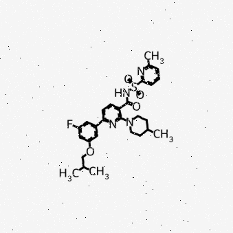 Cc1cccc(S(=O)(=O)NC(=O)c2ccc(-c3cc(F)cc(OCC(C)C)c3)nc2N2CCC(C)CC2)n1